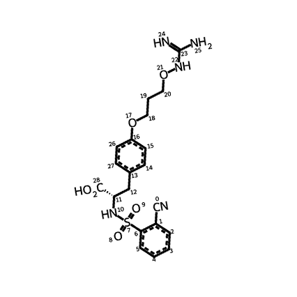 N#Cc1ccccc1S(=O)(=O)N[C@@H](Cc1ccc(OCCCONC(=N)N)cc1)C(=O)O